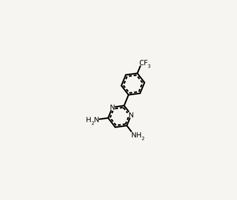 Nc1cc(N)nc(-c2ccc(C(F)(F)F)cc2)n1